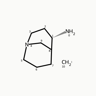 N[C@H]1CCN2CCCC1C2.[CH2]